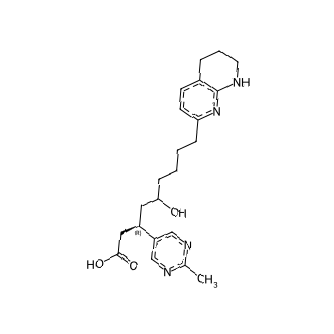 Cc1ncc([C@@H](CC(=O)O)CC(O)CCCCc2ccc3c(n2)NCCC3)cn1